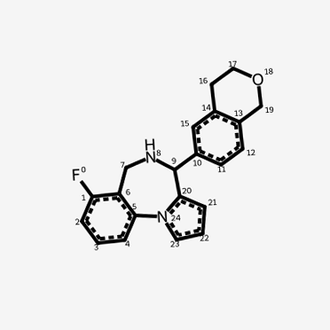 Fc1cccc2c1CNC(c1ccc3c(c1)CCOC3)c1cccn1-2